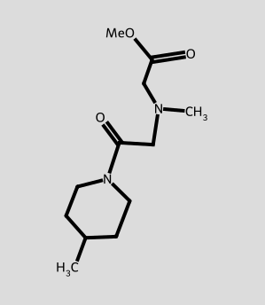 COC(=O)CN(C)CC(=O)N1CCC(C)CC1